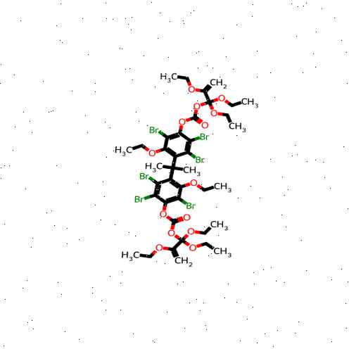 C=C(OCC)C(OCC)(OCC)OC(=O)Oc1c(Br)c(Br)c(C(C)(C)c2c(Br)c(Br)c(OC(=O)OC(OCC)(OCC)C(=C)OCC)c(Br)c2OCC)c(OCC)c1Br